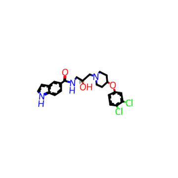 O=C(NC[C@@H](O)CN1CCC(Oc2ccc(Cl)c(Cl)c2)CC1)c1ccc2[nH]ccc2c1